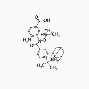 C[SiH](C)ON(C(=O)c1ccc(C(C)(C)C)c(C23CC4CC(CC(C4)C2)C3)c1)c1cc(C(=O)O)ccc1N